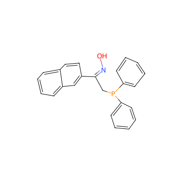 ON=C(CP(c1ccccc1)c1ccccc1)c1ccc2ccccc2c1